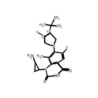 Cc1c(N2C[C@@H](F)[C@@H](C(C)(C)N)C2)c(F)cc2c(=O)[nH]c(=O)n(C3CC3N)c12